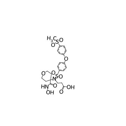 CS(=O)(=O)c1ccc(Oc2ccc(S(=O)(=O)N(CCC(=O)O)C3(C(=O)NO)CCOCC3)cc2)cc1